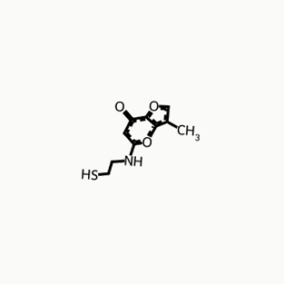 Cc1coc2c(=O)cc(NCCS)oc12